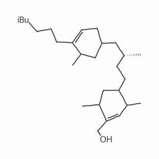 CCC(C)CCCC1=CCC(C[C@H](C)CCC2CC(C)C(CO)=CC2C)CC1C